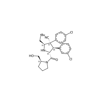 CC(C)(C)C[C@@H]1N[C@@H](C(=O)N2CCC[C@H]2CO)[C@H](c2cccc(Cl)c2)[C@]1(C#N)c1ccc(Cl)cc1